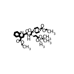 CCOC(=O)c1cc(C(=O)N[C@@H](CCC(=O)OC(C)(C)C)C(=O)N2CCN(C(=O)OCC)CC2)nc2ccccc12